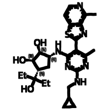 CCC(O)(CC)[C@H]1C[C@@H](Nc2nc(NCC3CC3)nc(C)c2-c2nc3c(C)nccc3s2)[C@H](O)[C@@H]1O